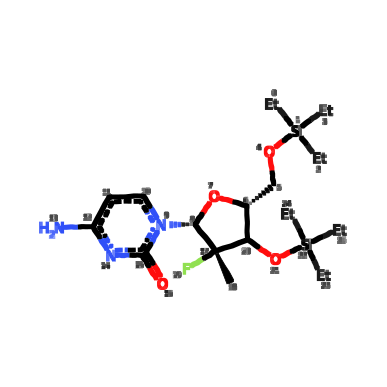 CC[Si](CC)(CC)OC[C@H]1O[C@@H](n2ccc(N)nc2=O)[C@@](C)(F)C1O[Si](CC)(CC)CC